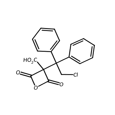 O=C(O)C1(C(CCl)(c2ccccc2)c2ccccc2)C(=O)OC1=O